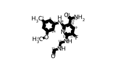 COc1cc(C)cc(Nc2nc(NCNC=O)c(F)cc2C(N)=O)c1